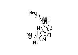 Cn1ccc(CNc2c(C#N)cnc3c(Cl)cc(N[C@H](C4=CN(C5CCN(C(C)(C)C)CC5)NN4)c4ccccc4)cc23)n1